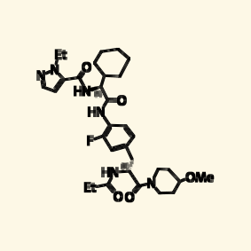 CCC(=O)N[C@H](Cc1ccc(NC(=O)[C@@H](NC(=O)c2ccnn2CC)C2CCCCC2)c(F)c1)C(=O)N1CCC(OC)CC1